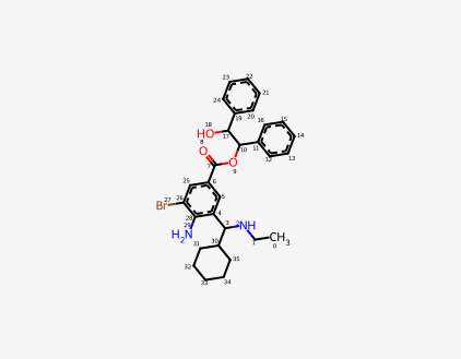 CCNC(c1cc(C(=O)OC(c2ccccc2)C(O)c2ccccc2)cc(Br)c1N)C1CCCCC1